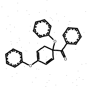 O=C(c1ccccc1)C1(Oc2ccccc2)C=CC(Oc2ccccc2)=CC1